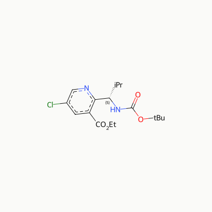 CCOC(=O)c1cc(Cl)cnc1[C@@H](NC(=O)OC(C)(C)C)C(C)C